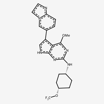 COc1nc(N[C@H]2CC[C@@H](OC(F)(F)F)CC2)nc2[nH]cc(-c3ccc4nccn4c3)c12